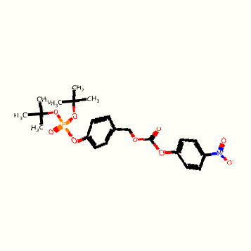 CC(C)(C)OP(=O)(Oc1ccc(COC(=O)Oc2ccc([N+](=O)[O-])cc2)cc1)OC(C)(C)C